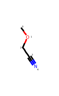 CO[CH]C#N